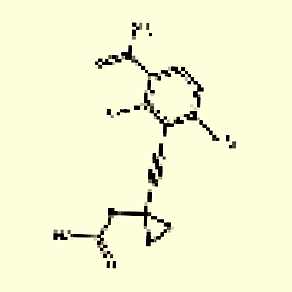 NC(=O)c1cnc(N)c(C#CC2(NC(=O)O)CC2)c1Br